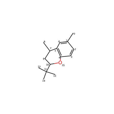 Cc1ccc2c(c1)C(C)CC(C(C)(C)C)O2